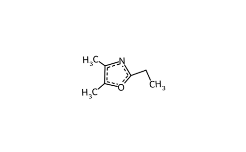 CCc1nc(C)c(C)o1